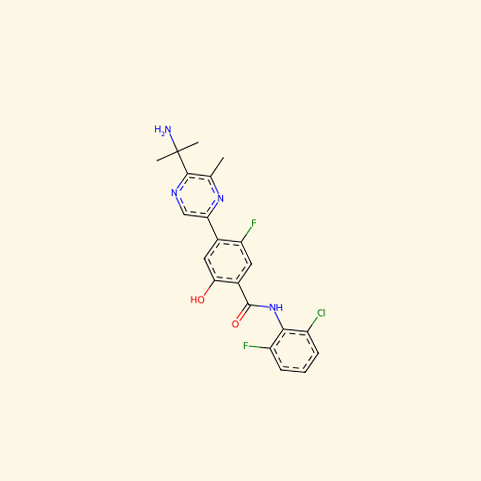 Cc1nc(-c2cc(O)c(C(=O)Nc3c(F)cccc3Cl)cc2F)cnc1C(C)(C)N